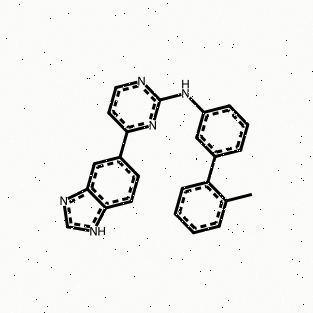 Cc1ccccc1-c1cccc(Nc2nccc(-c3ccc4[nH]cnc4c3)n2)c1